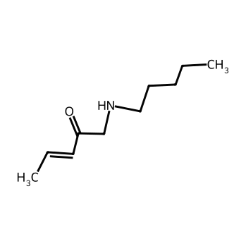 C/C=C/C(=O)CNCCCCC